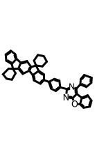 c1ccc(-c2nc(-c3ccc(-c4ccc5c(c4)C4(CCCCC4)c4cc6c(cc4-5)C4(CCCCC4)c4ccccc4-6)cc3)nc3oc4ccccc4c23)cc1